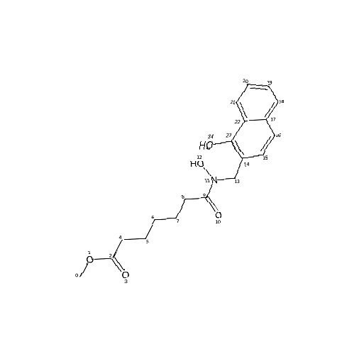 COC(=O)CCCCCC(=O)N(O)Cc1ccc2ccccc2c1O